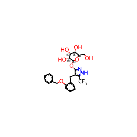 OC[C@H]1O[C@@H](Oc2n[nH]c(C(F)(F)F)c2Cc2ccccc2OCc2ccccc2)[C@H](O)[C@@H](O)[C@@H]1O